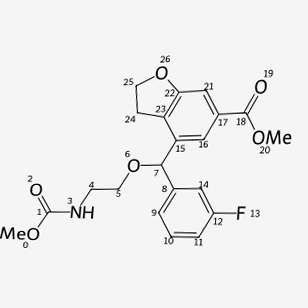 COC(=O)NCCOC(c1cccc(F)c1)c1cc(C(=O)OC)cc2c1CCO2